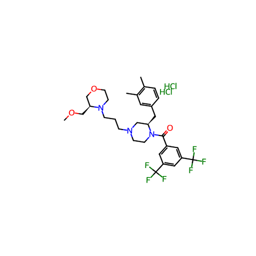 COC[C@H]1COCCN1CCCN1CCN(C(=O)c2cc(C(F)(F)F)cc(C(F)(F)F)c2)[C@H](Cc2ccc(C)c(C)c2)C1.Cl.Cl